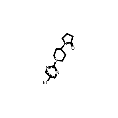 CCc1cnc(N2CCC(N3CCCC3=O)CC2)nc1